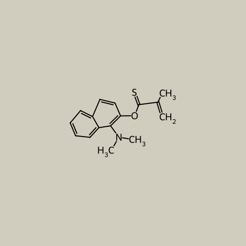 C=C(C)C(=S)Oc1ccc2ccccc2c1N(C)C